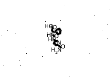 NC(=O)c1ccc(NC(=O)NC(CC(=O)O)c2ccccc2)cn1